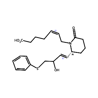 O=C(O)CCC/C=C\CN1C(=O)CCC[C@@H]1/C=C/C(O)CSc1ccccc1